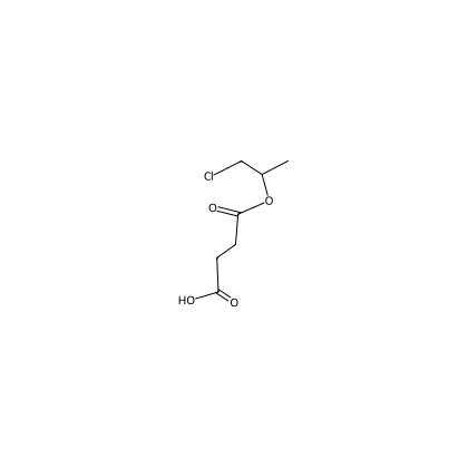 CC(CCl)OC(=O)CCC(=O)O